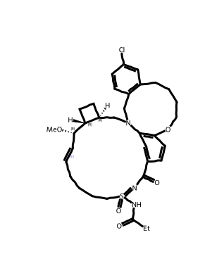 CCC(=O)NS1(=O)=NC(=O)c2ccc3c(c2)N(Cc2ccc(Cl)cc2CCCCO3)C[C@@H]2CC[C@H]2[C@@H](OC)/C=C/CCCC1